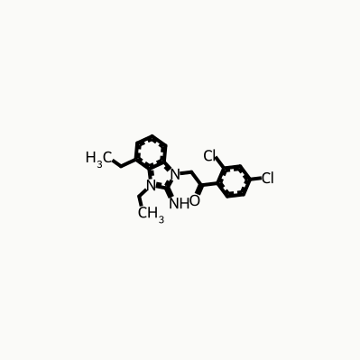 CCc1cccc2c1n(CC)c(=N)n2CC(=O)c1ccc(Cl)cc1Cl